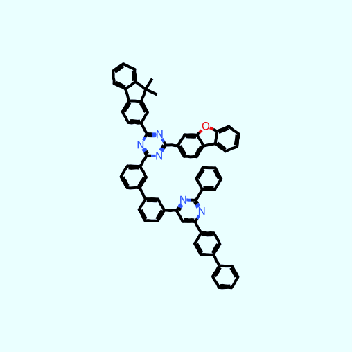 CC1(C)c2ccccc2-c2ccc(-c3nc(-c4cccc(-c5cccc(-c6cc(-c7ccc(-c8ccccc8)cc7)nc(-c7ccccc7)n6)c5)c4)nc(-c4ccc5c(c4)oc4ccccc45)n3)cc21